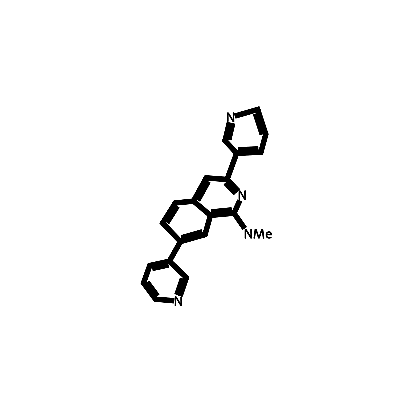 CNc1nc(-c2cccnc2)cc2ccc(-c3cccnc3)cc12